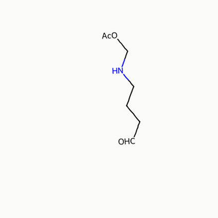 CC(=O)OCNCCCC=O